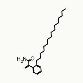 C=C(C(N)=O)c1ccccc1CCCCCCCCCCCCCCCC